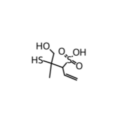 C=CC(C(C)(S)CO)S(=O)(=O)O